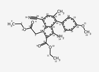 CCOC(=O)Cn1c(C(=O)OCC)c(N)c2c(-c3ccc(OC)cc3)c(C)cc(C#N)c21